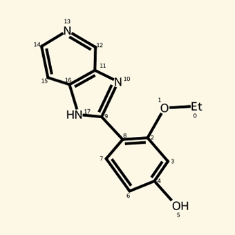 CCOc1cc(O)ccc1-c1nc2cnccc2[nH]1